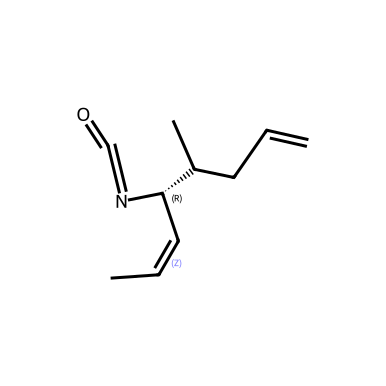 C=CCC(C)[C@H](/C=C\C)N=C=O